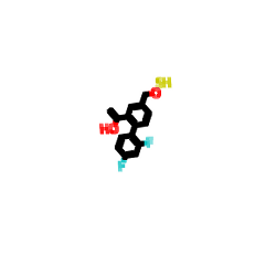 C=C(O)c1cc(COS)ccc1-c1ccc(F)cc1F